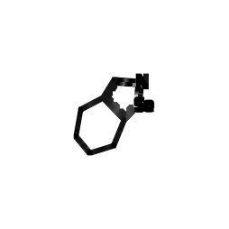 c1n[se]c2c1CCCC2